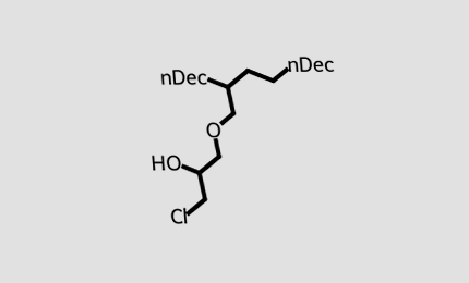 CCCCCCCCCCCCC(CCCCCCCCCC)COCC(O)CCl